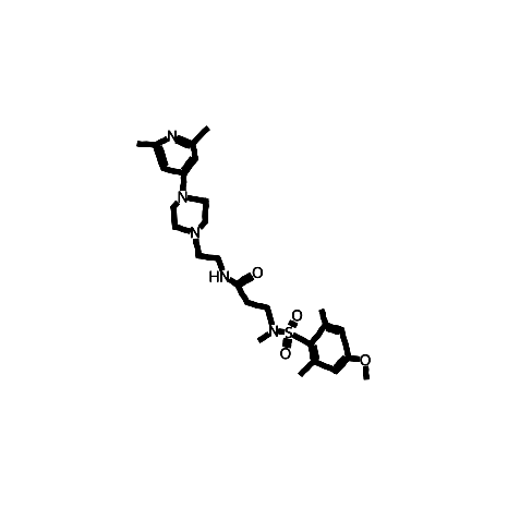 COc1cc(C)c(S(=O)(=O)N(C)CCC(=O)NCCN2CCN(c3cc(C)nc(C)c3)CC2)c(C)c1